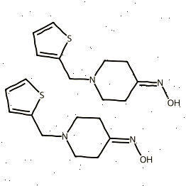 ON=C1CCN(Cc2cccs2)CC1.ON=C1CCN(Cc2cccs2)CC1